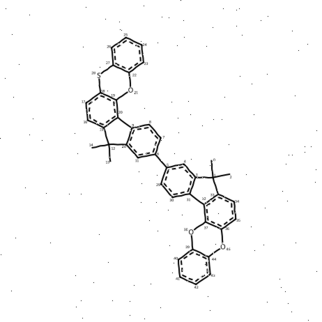 CC1(C)c2cc(-c3ccc4c(c3)C(C)(C)c3ccc5c(c3-4)Oc3ccccc3S5)ccc2-c2c1ccc1c2Oc2ccccc2O1